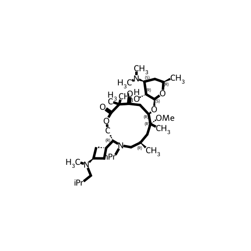 CCCN1C[C@H](C)C[C@@](C)(OC)[C@H](O[C@@H]2O[C@H](C)C[C@H](N(C)C)[C@H]2O)CC(=O)C(C)(C)C(=O)OC[C@H]1[C@H]1C[C@H](N(C)CC(C)C)C1